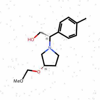 COCO[C@H]1CCN([C@H](CO)c2ccc(C)cc2)C1